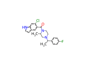 CC(c1ccc(F)cc1)N1CCN(C(=O)c2cc3cc[nH]c3cc2Cl)C(C)C1